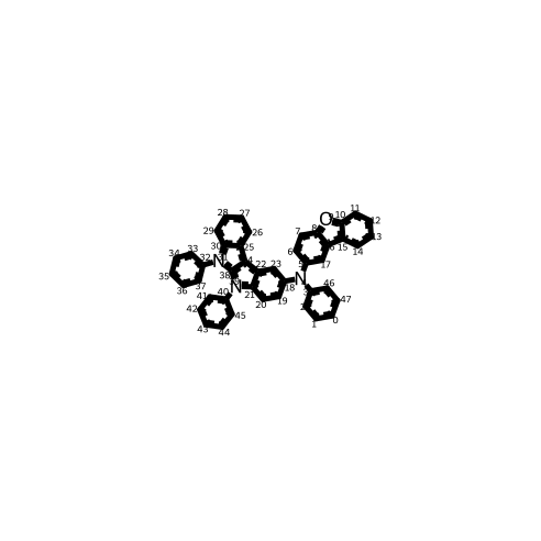 c1ccc(N(c2ccc3oc4ccccc4c3c2)c2ccc3c(c2)c2c4ccccc4n(-c4ccccc4)c2n3-c2ccccc2)cc1